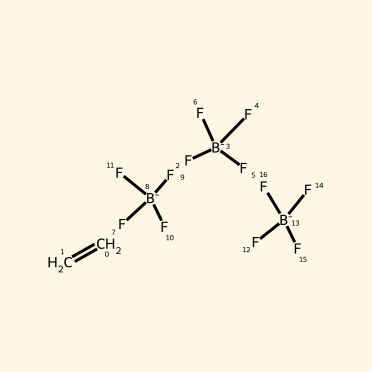 C=C.F[B-](F)(F)F.F[B-](F)(F)F.F[B-](F)(F)F